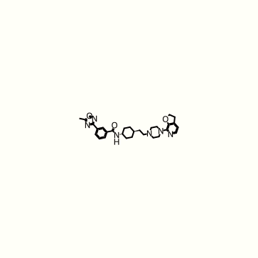 Cc1nc(-c2cccc(C(=O)N[C@H]3CC[C@H](CCN4CCN(c5nccc6c5OCC6)CC4)CC3)c2)no1